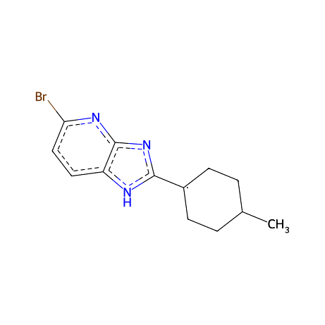 CC1CC[C](c2nc3nc(Br)ccc3[nH]2)CC1